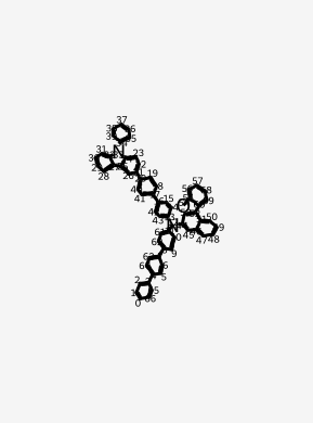 c1ccc(-c2ccc(-c3ccc(N(c4ccc(-c5ccc(-c6ccc7c(c6)c6ccccc6n7-c6ccccc6)cc5)cc4)c4cc5ccccc5c5c4oc4ccccc45)cc3)cc2)cc1